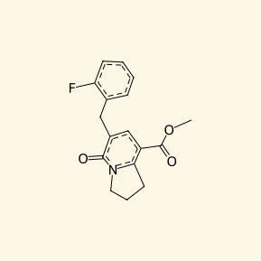 COC(=O)c1cc(Cc2ccccc2F)c(=O)n2c1CCC2